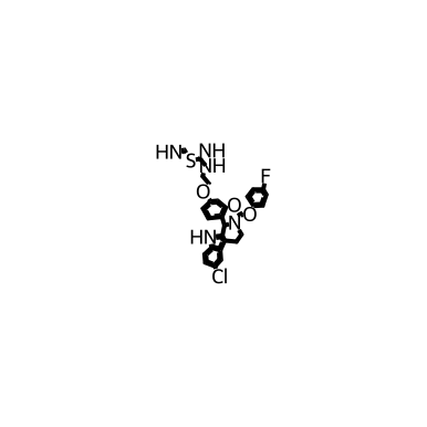 N=CSC(=N)NCCOc1ccc(C2c3[nH]c4ccc(Cl)cc4c3CCN2C(=O)Oc2ccc(F)cc2)cc1